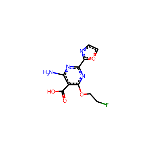 Nc1nc(-c2ncco2)nc(OCCF)c1C(=O)O